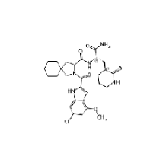 COc1cc(Cl)cc2[nH]c(C(=O)N3CC4(CCCCC4)CC3C(=O)N[C@@H](C[C@@H]3CCCNC3=O)C(N)=O)cc12